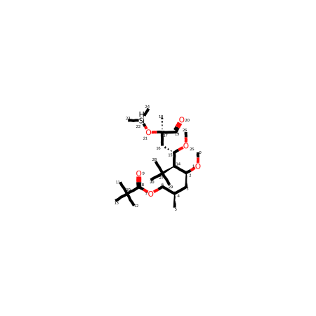 CO[C@@H](C[C@@H](C)COC(=O)C(C)(C)C)[C@H]([C@H](C[C@](C)(C=O)O[SiH](C)C)OC)C(C)(C)C